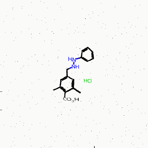 Cc1cc(CNNc2ccccc2)cc(C)c1C(=O)O.Cl